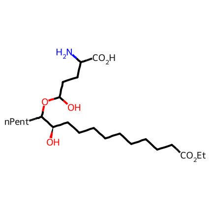 CCCCCC(OC(O)CCC(N)C(=O)O)[C@H](O)CCCCCCCCCC(=O)OCC